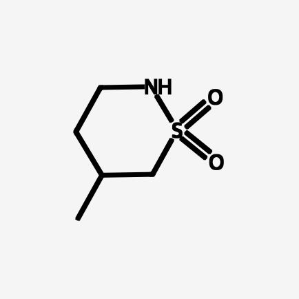 CC1CCNS(=O)(=O)C1